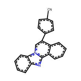 N#Cc1ccc(-c2cn3c4ccccc4nc3c3ccccc23)cc1